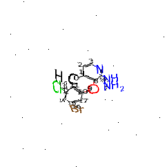 Cc1ccnc(NN)c1Oc1cc(Cl)cc(Br)c1